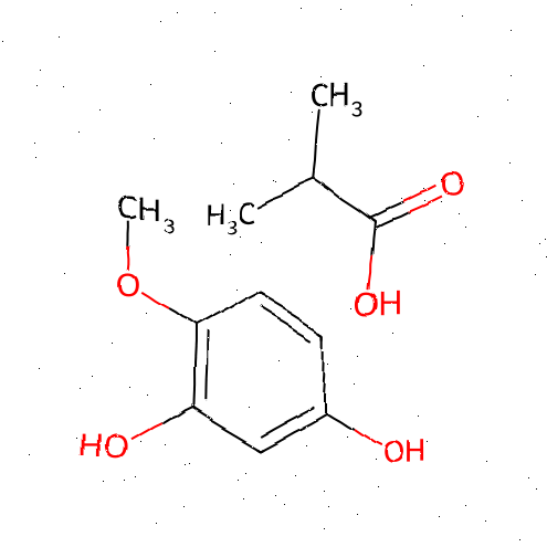 CC(C)C(=O)O.COc1ccc(O)cc1O